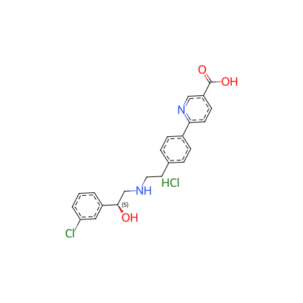 Cl.O=C(O)c1ccc(-c2ccc(CCNC[C@@H](O)c3cccc(Cl)c3)cc2)nc1